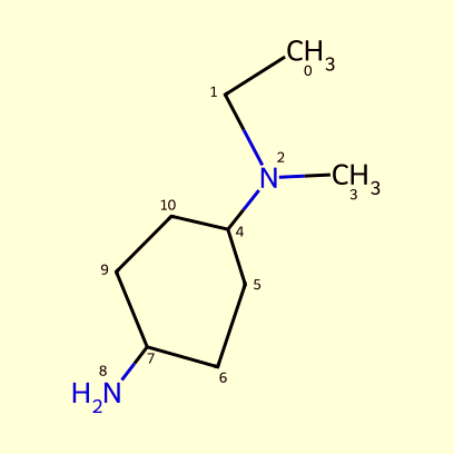 CCN(C)C1CCC(N)CC1